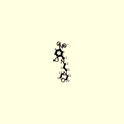 COc1ccc([N+](=O)[O-])cc1/C=N/CCCN1CCOCC1